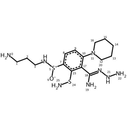 NCCCN[S+]([O-])c1ccc(N2CCCCC2)c(/C(N)=N/NN)c1SN